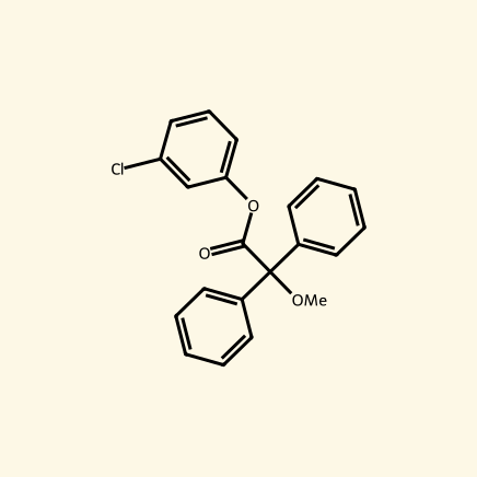 COC(C(=O)Oc1cccc(Cl)c1)(c1ccccc1)c1ccccc1